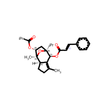 CC1=C2[C@@H](CC1)[C@]1(C)O[C@@](C(C)C)(C[C@H]1OC(=O)C(C)C)[C@H]2OC(=O)/C=C/c1ccccc1